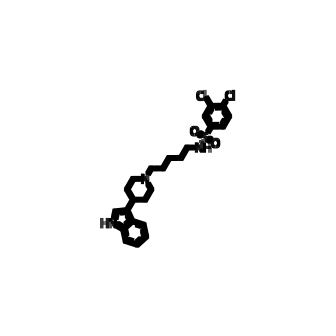 O=S(=O)(NCCCCCN1CCC(c2c[nH]c3ccccc23)CC1)c1ccc(Cl)c(Cl)c1